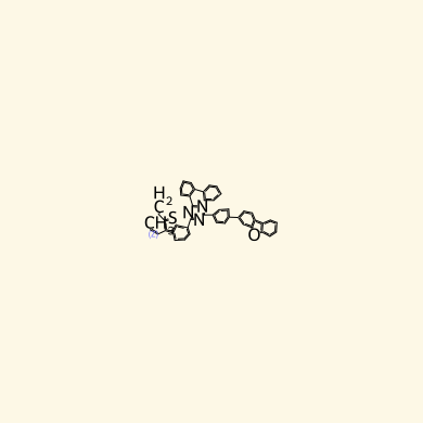 C=Cc1sc2c(-c3nc(-c4ccc(-c5ccc6c(c5)oc5ccccc56)cc4)nc(-c4ccccc4-c4ccccc4)n3)cccc2c1/C=C\C